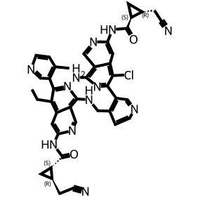 CCc1c(-c2cnccc2C)nc(NCc2ccncc2-c2nc(N)c3cnc(NC(=O)[C@H]4C[C@@H]4CC#N)cc3c2Cl)c2cnc(NC(=O)[C@H]3C[C@@H]3CC#N)cc12